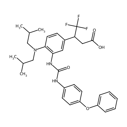 CC(C)CN(CC(C)C)c1ccc(C(CC(=O)O)C(F)(F)F)cc1NC(=O)Nc1ccc(Oc2ccccc2)cc1